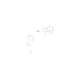 Cc1c(C#CCc2ccc(N(C)CCF)cc2)[nH]c2ncccc12